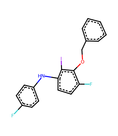 Fc1ccc(Nc2ccc(F)c(OCc3ccccc3)c2I)cc1